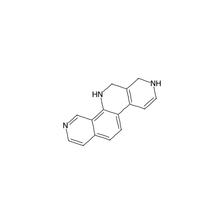 C1=CC2=C(CN1)CNc1c2ccc2ccncc12